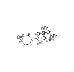 CCCO[Si](CCC)(OCCC)OC(CC)C1CCC2OC2C1